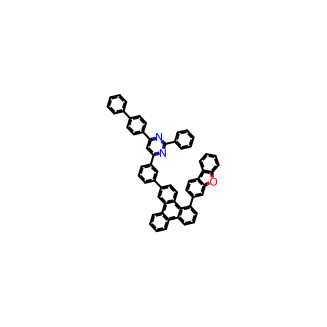 c1ccc(-c2ccc(-c3cc(-c4cccc(-c5ccc6c(c5)c5ccccc5c5cccc(-c7ccc8c(c7)oc7ccccc78)c56)c4)nc(-c4ccccc4)n3)cc2)cc1